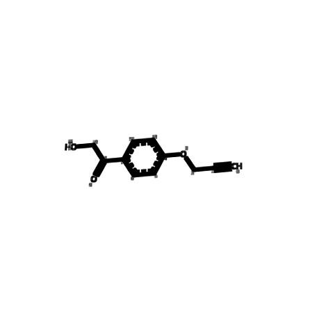 C#CCOc1ccc(C(=O)CO)cc1